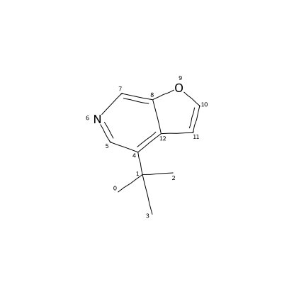 CC(C)(C)c1cncc2occc12